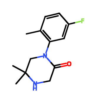 Cc1ccc(F)cc1N1CC(C)(C)NCC1=O